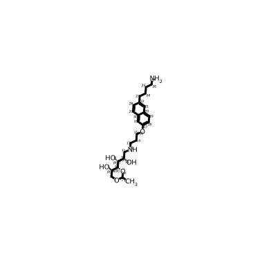 CC1OC[C@@H](O)[C@H]([C@H](O)[C@@H](O)CNCCCOc2ccc3cc(CCCCN)ccc3c2)O1